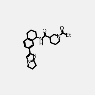 CCC(=O)N1CCCC(C(=O)N[C@@H]2CCCc3ccc(-c4cn5c(n4)CCC5)cc32)C1